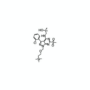 C[C@H](O)CNc1nc(S(C)(=O)=O)nc2c1c(-c1ccccc1Cl)nn2COCC[Si](C)(C)C